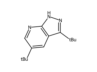 CC(C)(C)c1cnc2[nH]nc(C(C)(C)C)c2c1